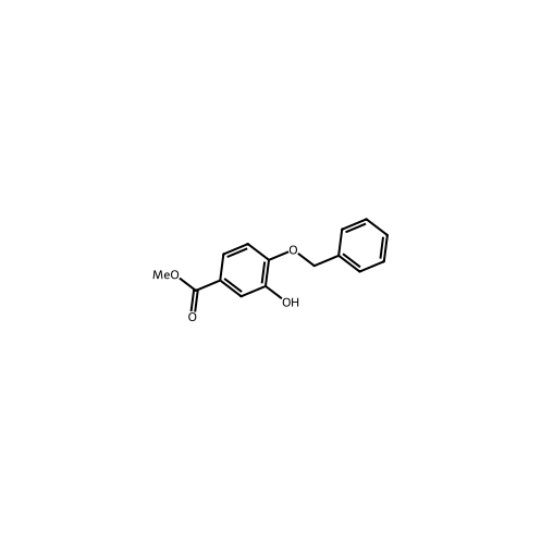 COC(=O)c1ccc(OCc2ccccc2)c(O)c1